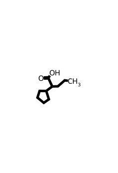 CCCC(C(=O)O)C1CCCC1